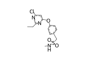 CCc1nc(Cl)cc(Oc2ccc(CS(=O)(=O)NC)cc2)n1